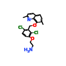 Cc1ccc2ccc(C)c(OCc3c(Cl)ccc(OCCN)c3Cl)c2n1